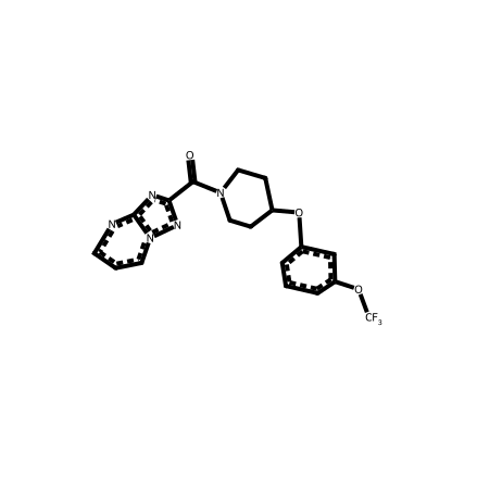 O=C(c1nc2ncccn2n1)N1CCC(Oc2cccc(OC(F)(F)F)c2)CC1